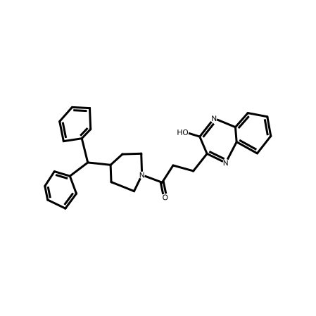 O=C(CCc1nc2ccccc2nc1O)N1CCC(C(c2ccccc2)c2ccccc2)CC1